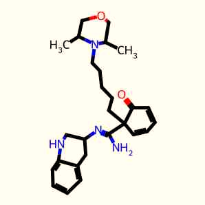 CC1COCC(C)N1CCCCCC1(C(N)=NC2CNc3ccccc3C2)C=CC=CC1=O